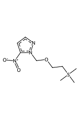 CS(C)(C)CCOCn1nccc1[N+](=O)[O-]